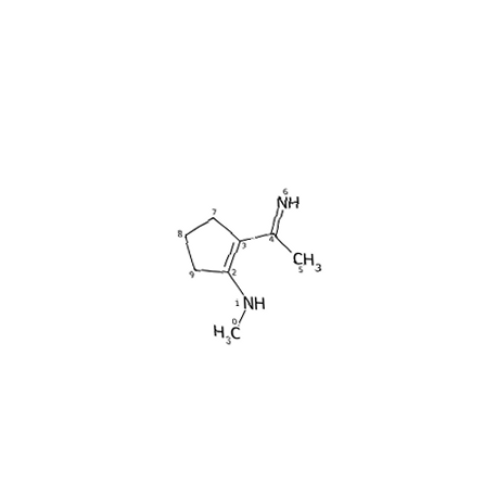 CNC1=C(C(C)=N)CCC1